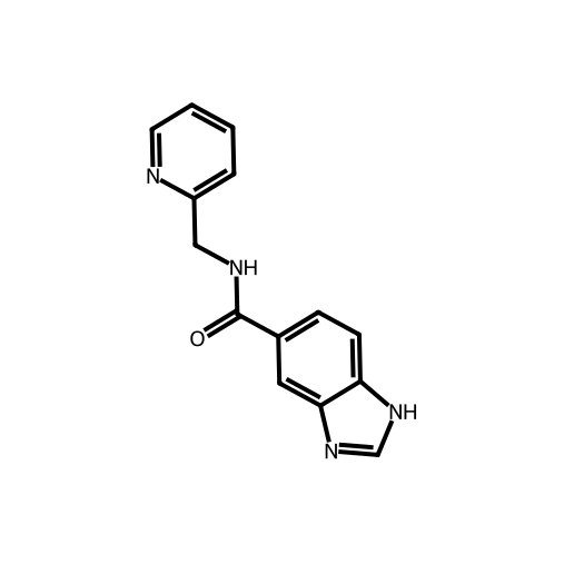 O=C(NCc1ccccn1)c1ccc2[nH]cnc2c1